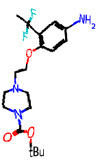 CC(C)(C)OC(=O)N1CCN(CCOc2ccc(N)cc2C(C)(F)F)CC1